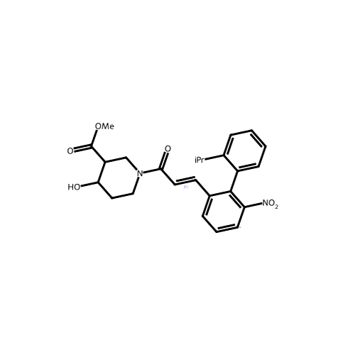 COC(=O)C1CN(C(=O)/C=C/c2cc[c]c([N+](=O)[O-])c2-c2ccccc2C(C)C)CCC1O